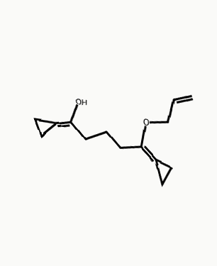 C=CCOC(CCCC(O)=C1CC1)=C1CC1